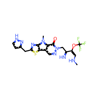 CN/C=C(/OC(F)(F)F)C(=N)Cn1ncc2c3sc(Cc4cc[nH]n4)nc3n(C)c2c1=O